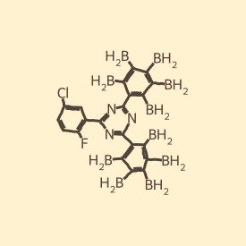 Bc1c(B)c(B)c(-c2nc(-c3cc(Cl)ccc3F)nc(-c3c(B)c(B)c(B)c(B)c3B)n2)c(B)c1B